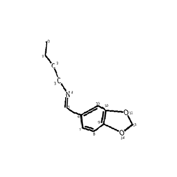 CCCCN=Cc1ccc2c(c1)OCO2